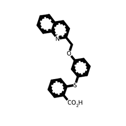 O=C(O)c1ccccc1Sc1cccc(OCc2ccc3ccccc3n2)c1